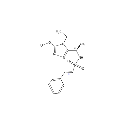 CCn1c(OC)nnc1[C@@H](C)NS(=O)(=O)/C=C/c1ccccc1